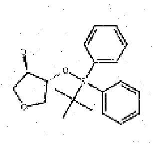 CC(C)(C)[Si](O[C@@H]1COC[C@H]1O)(c1ccccc1)c1ccccc1